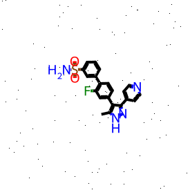 Cc1[nH]nc(-c2ccncc2)c1-c1ccc(-c2cccc(S(N)(=O)=O)c2)c(F)c1